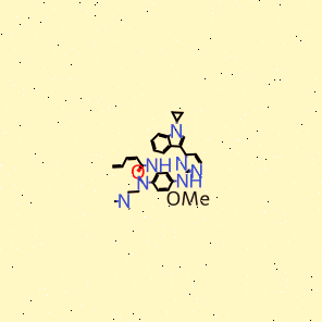 C=C/C=C\C(=O)Nc1cc(Nc2nccc(-c3cn(C4CC4)c4ccccc34)n2)c(OC)cc1N(C)CCN(C)C